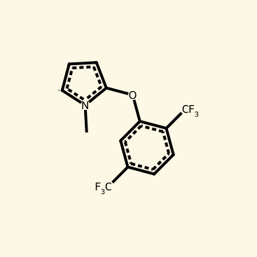 Cn1[c]ccc1Oc1cc(C(F)(F)F)ccc1C(F)(F)F